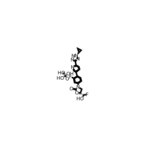 O=C1O[C@@H](C(O)F)CN1c1ccc(-c2ccc(-c3nnn(C4CC4)n3)nc2)c(F)c1.O=P(O)(O)O